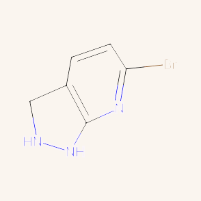 Brc1ccc2c(n1)NNC2